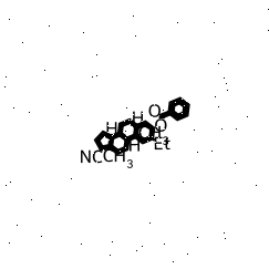 CC[C@H]1C[C@@]2(C)[C@@H](CCC3[C@@H]2CC[C@]2(C)[C@@H](C#N)CC[C@@H]32)C[C@@H]1OC(=O)c1ccccc1